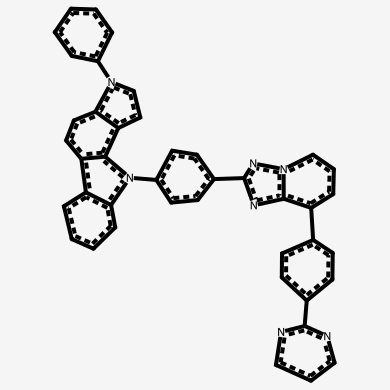 c1ccc(-n2ccc3c2ccc2c4ccccc4n(-c4ccc(-c5nc6c(-c7ccc(-c8ncccn8)cc7)cccn6n5)cc4)c23)cc1